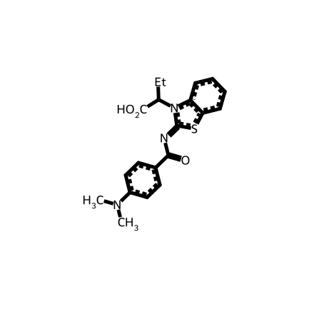 CCC(C(=O)O)n1c(=NC(=O)c2ccc(N(C)C)cc2)sc2ccccc21